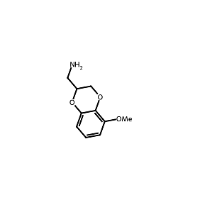 COc1cccc2c1OCC(CN)O2